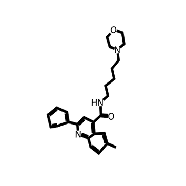 Cc1ccc2nc(-c3ccccc3)cc(C(=O)NCCCCCN3CCOCC3)c2c1